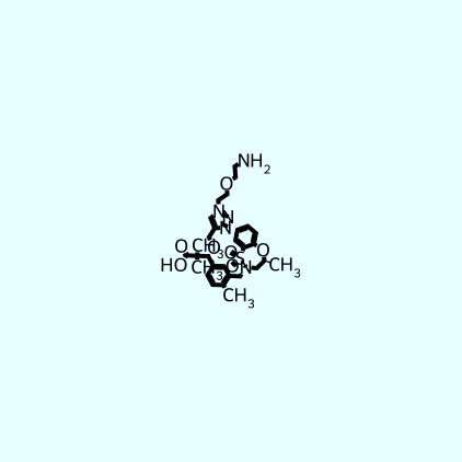 Cc1ccc([C@@H](OCc2cn(CCOCCN)nn2)C(C)(C)C(=O)O)cc1CN1C[C@@H](C)Oc2ccccc2S1(=O)=O